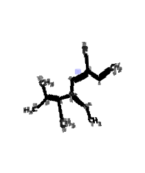 C=C/C(F)=C\[N+](=NC)C(C)=C(C)C